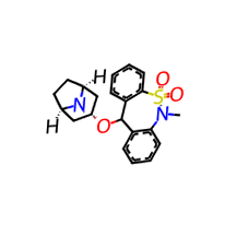 CN1[C@@H]2CC[C@H]1C[C@H](OC1c3ccccc3N(C)S(=O)(=O)c3ccccc31)C2